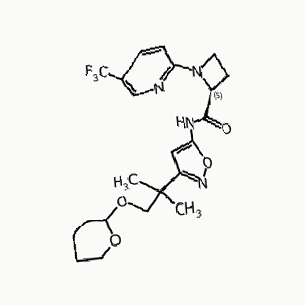 CC(C)(COC1CCCCO1)c1cc(NC(=O)[C@@H]2CCN2c2ccc(C(F)(F)F)cn2)on1